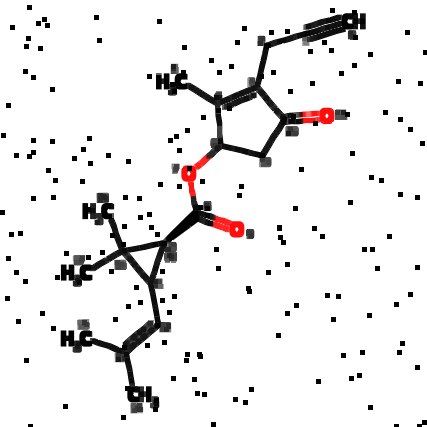 C#CCC1=C(C)C(OC(=O)[C@H]2C(C=C(C)C)C2(C)C)CC1=O